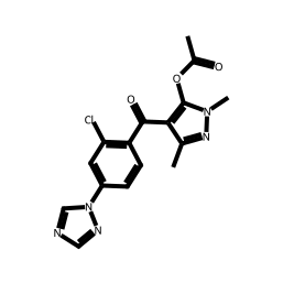 CC(=O)Oc1c(C(=O)c2ccc(-n3cncn3)cc2Cl)c(C)nn1C